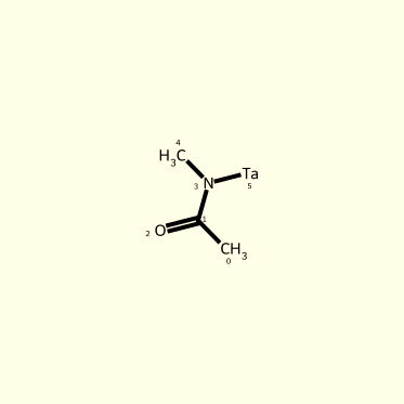 CC(=O)[N](C)[Ta]